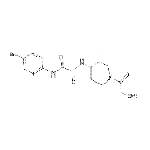 COCC(=O)N1CC[C@H](NC(=O)C(=O)Nc2ccc(Br)cn2)[C@H](C)C1